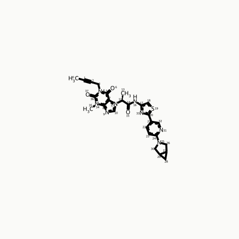 CC#CCn1c(=O)c2c(ncn2[C@@H](C)C(=O)Nc2csc(-c3ccc(N4CC5CC5C4)nc3)n2)n(C)c1=O